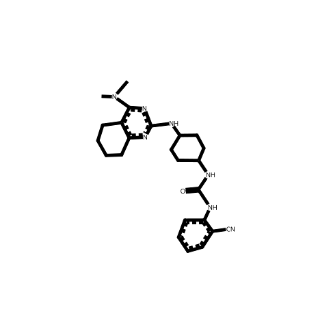 CN(C)c1nc(NC2CCC(NC(=O)Nc3ccccc3C#N)CC2)nc2c1CCCC2